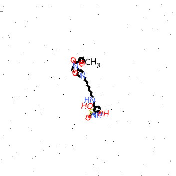 Cc1ccc(C(=O)N2CCOC3(CCN(CCCCCCCCCNCC(O)c4ccc(O)c5[nH]c(=O)sc45)CC3)C2)o1